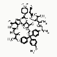 COc1ccc(C(OC[C@H]2O[C@@H](n3cnc4c(=O)[nH]c(NC(=O)C(C)C)nc43)[C@@H](OC(=S)N3CCS(=O)(=O)CC3)C2OP(OCCC#N)N(C(C)C)C(C)C)(c2ccccc2)c2ccc(OC)cc2)cc1